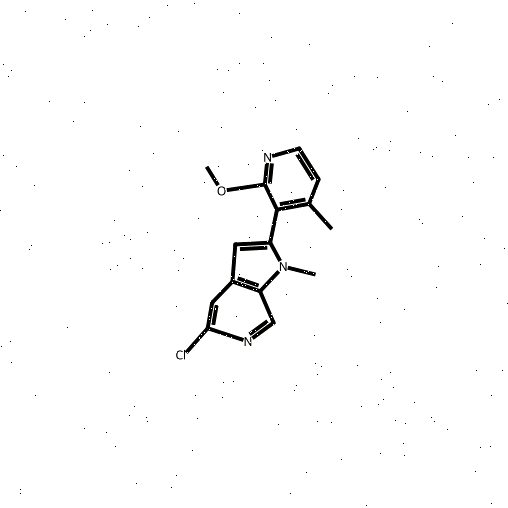 COc1nccc(C)c1-c1cc2cc(Cl)ncc2n1C